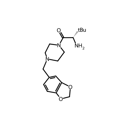 CC(C)(C)[C@H](N)C(=O)N1CCN(Cc2ccc3c(c2)OCO3)CC1